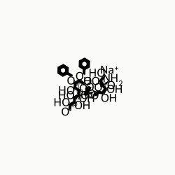 NC(=O)[C@]1([C@@H](O)CO)OC(=O)C(O)=C1O.O=C[C@@H](O)[C@@H](O)[C@H](O)[C@H](O)[C@@H](OS(=O)(=O)[O-])[C@@H](O)[C@H](OCc1ccccc1)[C@H](C=O)OCc1ccccc1.[Na+]